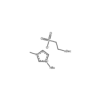 CCCCCCCCCCCCS(=O)(=O)[O-].CCCC[n+]1ccn(C)c1